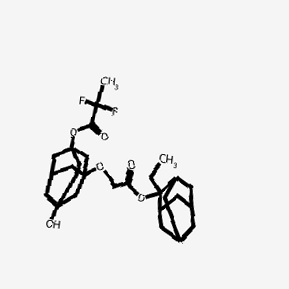 CCC1(OC(=O)COC23CC4CC(O)(C2)CC(OC(=O)C(C)(F)F)(C4)C3)C2CC3CC(C2)CC1C3